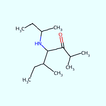 CCC(C)NC(C(=O)C(C)C)C(C)CC